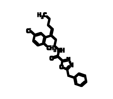 CCC/C=C(/CCNC(=O)c1nnc(Cc2ccccc2)o1)c1cc(Cl)ccc1C